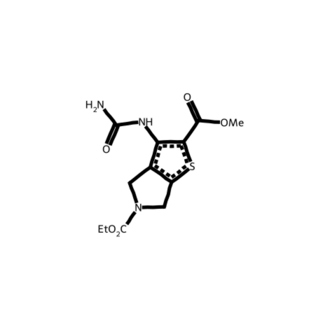 CCOC(=O)N1Cc2sc(C(=O)OC)c(NC(N)=O)c2C1